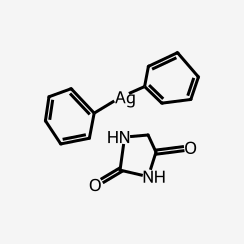 O=C1CNC(=O)N1.c1cc[c]([Ag][c]2ccccc2)cc1